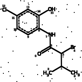 CC(C)C(Br)C(=O)Nc1ccc(Cl)cc1O